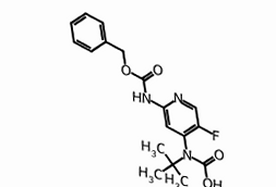 CC(C)(C)N(C(=O)O)c1cc(NC(=O)OCc2ccccc2)ncc1F